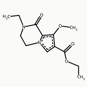 CCOC(=O)c1cn2c(c1OC)C(=O)N(CC)CC2